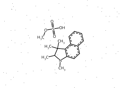 CC1N(C)c2ccc3ccccc3c2C1(C)C.COS(=O)(=O)O